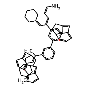 C=C(/C=C(\C=C(/C)c1cccc(-c2cc(C3=C\C=C/C4CC\C(=C\3)C4)cc(/C(C=C3CCCCC3)=C/C=C\N)c2)c1)C1=C\C2CC\C(=C/C=C\1)C2)C1=C\C2CCC\C(=C/C=C\1)C2